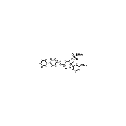 COc1cccc([C@]2(CNS(=O)(=O)NC(C)=O)CC[C@@H](NCc3ccc(-c4ccccc4)cc3)CC2)c1